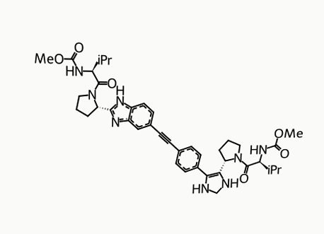 COC(=O)N[C@H](C(=O)N1CCC[C@H]1C1=C(c2ccc(C#Cc3ccc4[nH]c([C@@H]5CCCN5C(=O)[C@@H](NC(=O)OC)C(C)C)nc4c3)cc2)NCN1)C(C)C